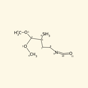 COC(OC)C([SiH3])CCN=C=O